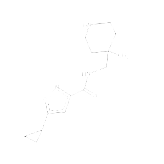 CC1(CNC(=O)c2cc(C3CC3)on2)CCNCC1